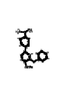 CC(=O)Nc1ncc(-c2ccc(N(C)C)cc2)nc1Cc1ccccc1